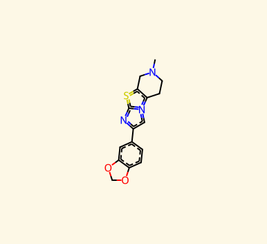 CN1CCc2c(sc3nc(-c4ccc5c(c4)OCO5)cn23)C1